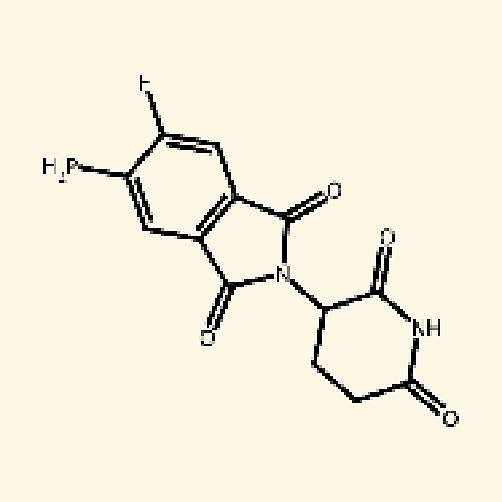 O=C1CCC(N2C(=O)c3cc(F)c(P)cc3C2=O)C(=O)N1